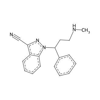 CNCCC(c1ccccc1)n1nc(C#N)c2ccccc21